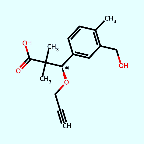 C#CCO[C@H](c1ccc(C)c(CO)c1)C(C)(C)C(=O)O